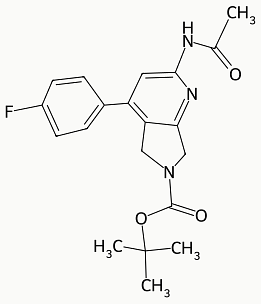 CC(=O)Nc1cc(-c2ccc(F)cc2)c2c(n1)CN(C(=O)OC(C)(C)C)C2